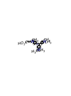 CN(C)c1ccc(C(/C=C/c2ccc(N(C)CCCCC(=O)O)cc2)=C2C=CC(=[N+](C)C)C=C2)cc1